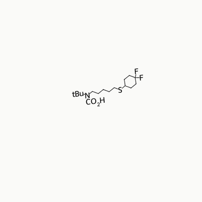 CC(C)(C)N(CCCCCSC1CCC(F)(F)CC1)C(=O)O